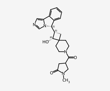 CN1CC(C(=O)N2CCC3(CC2)C[C@@H]([C@H]2c4ccccc4-c4cncn42)[C@H]3O)CC1=O